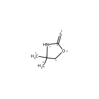 CC1(C)COC(=S)N1